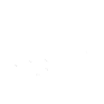 CCN(Cc1ccc(C(F)(F)F)cc1)/N=C(/c1ccccc1C)n1ccnc1